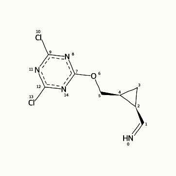 N=C[C@@H]1C[C@@H]1COc1nc(Cl)nc(Cl)n1